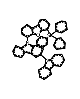 c1ccc([Si](c2ccccc2)(c2ccccc2)c2cccc3c2oc2c(-n4c5ccccc5c5cc(-n6c7ccccc7c7ccccc76)ccc54)cccc23)cc1